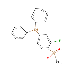 CS(=O)(=O)c1ccc([SH](c2ccccc2)c2ccccc2)cc1F